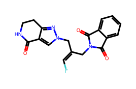 O=C1NCCc2nn(CC(=CF)CN3C(=O)c4ccccc4C3=O)cc21